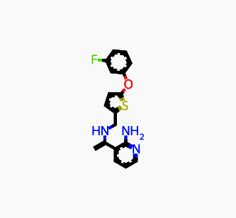 C=C(NCc1ccc(Oc2cccc(F)c2)s1)c1cccnc1N